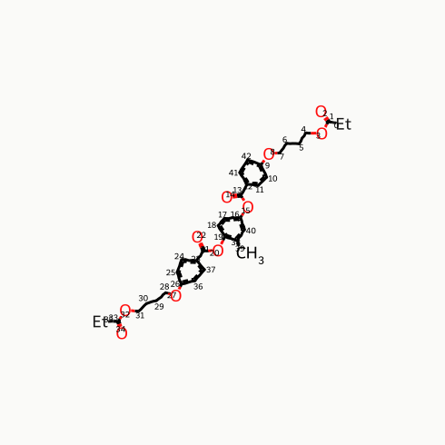 CCC(=O)OCCCCOc1ccc(C(=O)Oc2ccc(OC(=O)c3ccc(OCCCCOC(=O)CC)cc3)c(C)c2)cc1